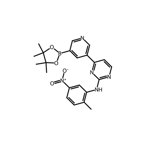 Cc1ccc([N+](=O)[O-])cc1Nc1nccc(-c2cncc(B3OC(C)(C)C(C)(C)O3)c2)n1